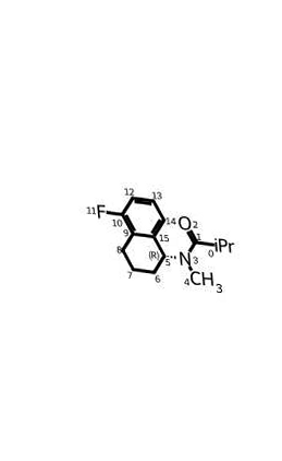 CC(C)C(=O)N(C)[C@@H]1CCCc2c(F)cccc21